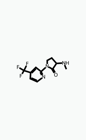 CNC1CCN(c2cc(C(F)(F)F)ccn2)C1=O